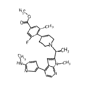 CNc1ccc(-c2ccnc3c2cc([C@H](C)N2CC=C(c4c(C)cc(C(=O)OC)cc4F)CC2)n3C)cn1